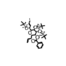 C=CCC1OC([C@H](/C=C/I)O[Si](C)(C)C(C)(C)C)C(O[Si](C)(C)C(C)(C)C)C(O[Si](C)(C)C(C)(C)C)C1OC(=O)c1ccccc1